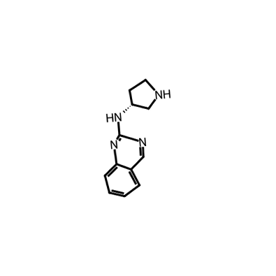 c1ccc2nc(N[C@@H]3CCNC3)ncc2c1